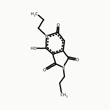 CCCN1C(=O)c2cc(=O)n(CCC)c(O)c2C1=O